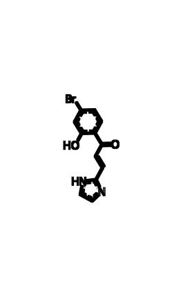 O=C(/C=C/c1ncc[nH]1)c1ccc(Br)cc1O